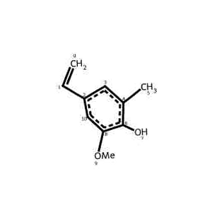 C=Cc1cc(C)c(O)c(OC)c1